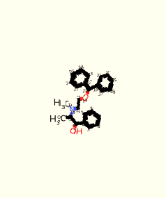 CC(C(O)c1ccccc1)N(C)CCOC(c1ccccc1)c1ccccc1